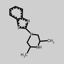 CC1CN(c2nc3ccccc3s2)CC(C)N1